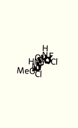 COc1nc(NS(=O)(=O)c2c[nH]c3c(F)c(Cl)ccc23)c(F)cc1Cl